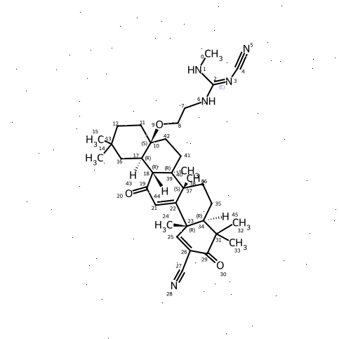 CN/C(=N\C#N)NCCO[C@]12CCC(C)(C)C[C@@H]1[C@H]1C(=O)C=C3[C@@]4(C)C=C(C#N)C(=O)C(C)(C)[C@@H]4CC[C@@]3(C)[C@]1(C)CC2